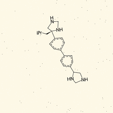 CC(C)C[C@@]1(c2ccc(-c3ccc(C4CNCN4)cc3)cc2)CNCN1